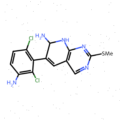 CSc1ncc2c(n1)NC(N)C(c1c(Cl)ccc(N)c1Cl)=C2